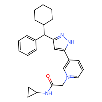 O=C(C[n+]1cccc(-c2cc(C(c3ccccc3)C3CCCCC3)n[nH]2)c1)NC1CC1